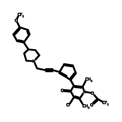 Cc1c(Cl)c(=O)c(-c2cccc(C#CCN3CCC(c4ccc(OC(F)(F)F)cc4)CC3)c2)c(C)n1OC(=O)C(F)(F)F